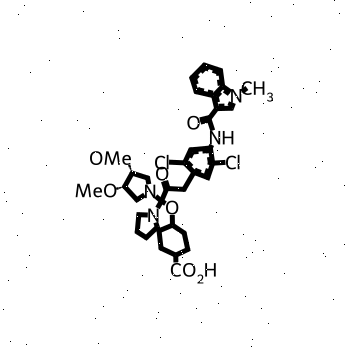 CO[C@H]1CN(C(OC2CCC(C(=O)O)CC2)(C(=O)Cc2cc(Cl)c(NC(=O)c3cn(C)c4ccccc34)cc2Cl)N2CCCC2)C[C@H]1OC